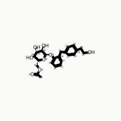 CC(=O)OC[C@H]1O[C@H](Oc2ccccc2Cc2ccc(CCO)cc2)[C@H](O)[C@@H](O)[C@@H]1O